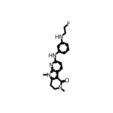 CN1CCc2c(c3ccc(Nc4cccc(NCCF)c4)nc3n2C)C1=O